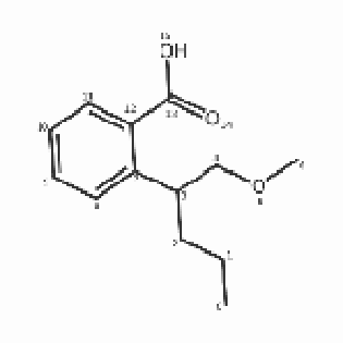 CCCC(COC)c1ccccc1C(=O)O